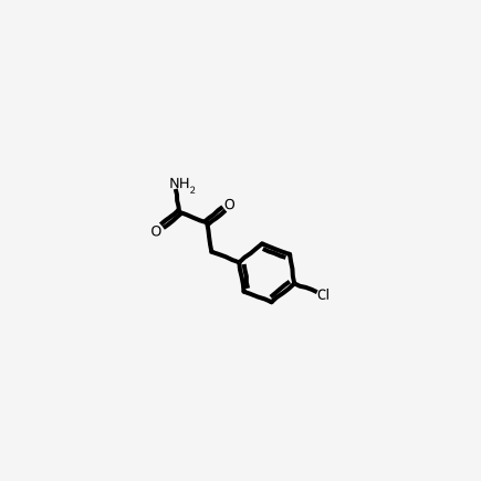 NC(=O)C(=O)Cc1ccc(Cl)cc1